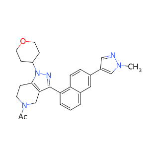 CC(=O)N1CCc2c(c(-c3cccc4cc(-c5cnn(C)c5)ccc34)nn2C2CCOCC2)C1